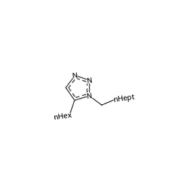 CCCCCCCCn1nncc1CCCCCC